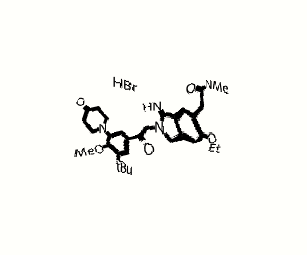 Br.CCOc1cc2c(cc1CC(=O)NC)C(=N)N(CC(=O)c1cc(N3CCC(=O)CC3)c(OC)c(C(C)(C)C)c1)C2